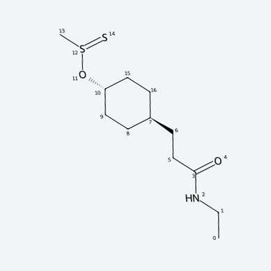 CCNC(=O)CC[C@H]1CC[C@H](OS(C)=S)CC1